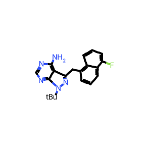 CC(C)(C)n1nc(Cc2cccc3c(F)cccc23)c2c(N)ncnc21